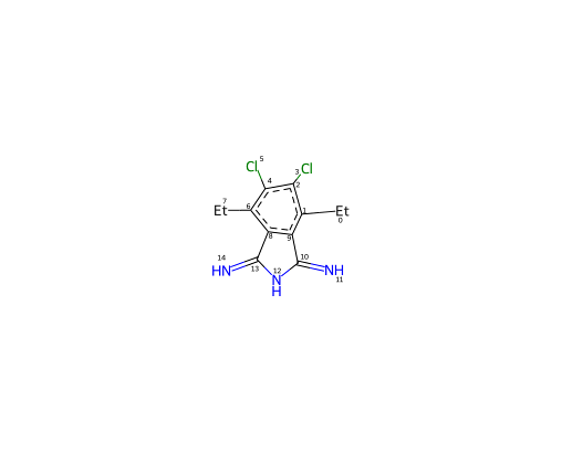 CCc1c(Cl)c(Cl)c(CC)c2c1C(=N)NC2=N